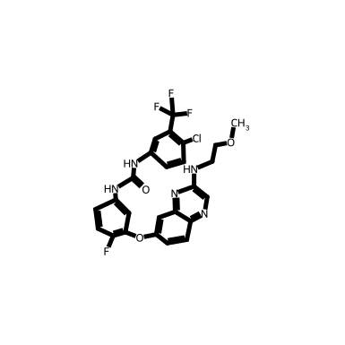 COCCNc1cnc2ccc(Oc3cc(NC(=O)Nc4ccc(Cl)c(C(F)(F)F)c4)ccc3F)cc2n1